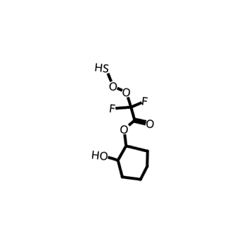 O=C(OC1CCCCC1O)C(F)(F)OOS